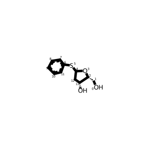 OC[C@H]1OC(Sc2ccccc2)C[C@H]1O